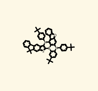 CC(C)(C)c1ccc(N2c3ccc(C(C)(C)C)cc3B3c4sc5cc6c(cc5c4N(c4ccc(C(C)(C)C)cc4)c4c3c2cc2oc3ccccc3c42)-c2ccccc2C6(C)C)cc1